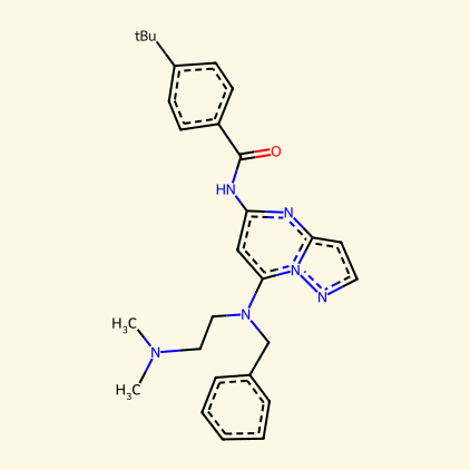 CN(C)CCN(Cc1ccccc1)c1cc(NC(=O)c2ccc(C(C)(C)C)cc2)nc2ccnn12